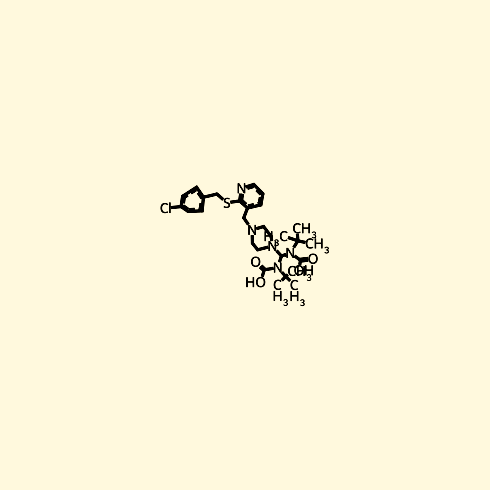 CC(C)(C)N([C](N1CCN(Cc2cccnc2SCc2ccc(Cl)cc2)CC1)N(C(=O)O)C(C)(C)C)C(=O)O